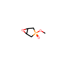 COP1(=O)CC2OC2C1